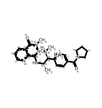 C=C(/C=C\C(=C/C)C(=O)N1CCCC1)[C@@H]([C@H](C)Nc1nn(C)c(=O)c2cccnc12)N(C)C